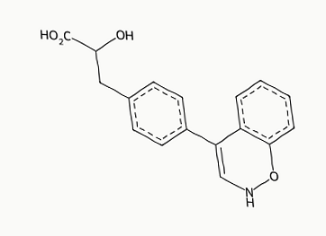 O=C(O)C(O)Cc1ccc(C2=CNOc3ccccc32)cc1